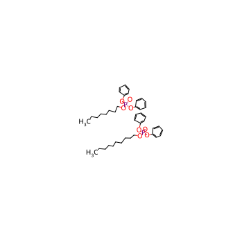 CCCCCCCCCCOP(=O)(Oc1ccccc1)Oc1ccccc1.CCCCCCCCOP(=O)(Oc1ccccc1)Oc1ccccc1